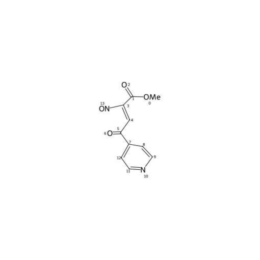 COC(=O)/C(=C/C(=O)c1ccncc1)N=O